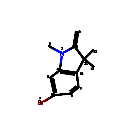 C=C1N(C)c2cc(Br)ccc2C1(C)C